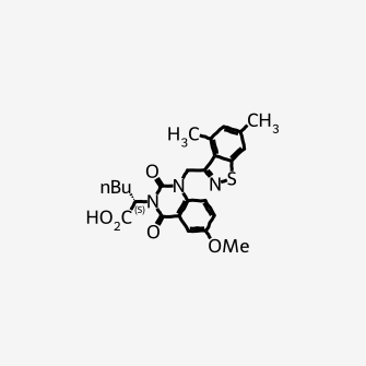 CCCC[C@@H](C(=O)O)n1c(=O)c2cc(OC)ccc2n(Cc2nsc3cc(C)cc(C)c23)c1=O